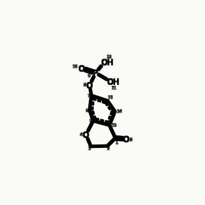 O=C1CCOc2cc(OP(=O)(O)O)ccc21